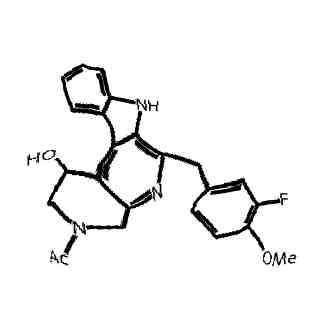 COc1ccc(Cc2nc3c(c4c2[nH]c2ccccc24)C(O)CN(C(C)=O)C3)cc1F